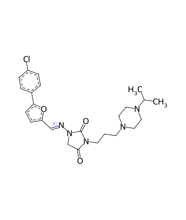 CC(C)N1CCN(CCCN2C(=O)CN(/N=C/c3ccc(-c4ccc(Cl)cc4)o3)C2=O)CC1